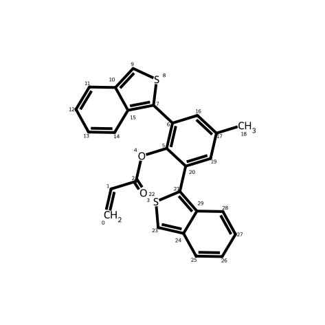 C=CC(=O)Oc1c(-c2scc3ccccc23)cc(C)cc1-c1scc2ccccc12